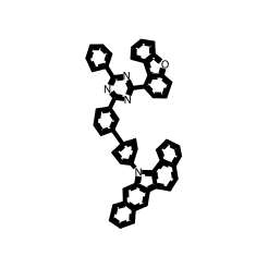 c1ccc(-c2nc(-c3cccc(-c4ccc(-n5c6cc7ccccc7cc6c6ccc7ccccc7c65)cc4)c3)nc(-c3cccc4oc5ccccc5c34)n2)cc1